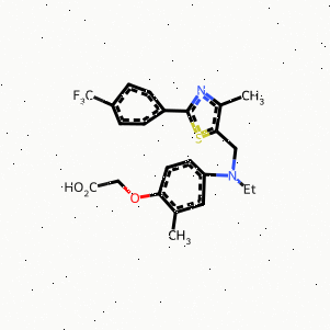 CCN(Cc1sc(-c2ccc(C(F)(F)F)cc2)nc1C)c1ccc(OCC(=O)O)c(C)c1